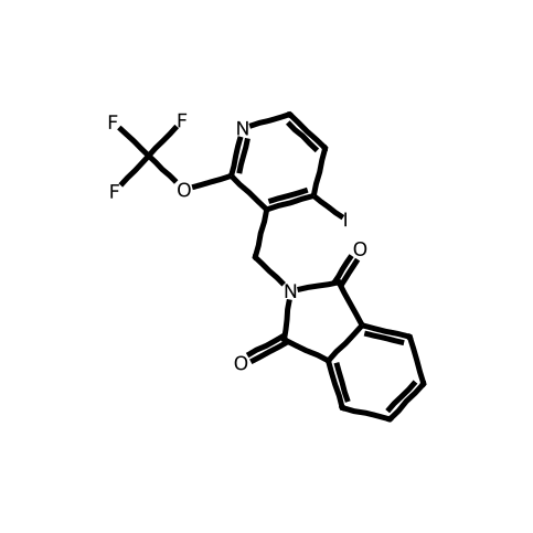 O=C1c2ccccc2C(=O)N1Cc1c(I)ccnc1OC(F)(F)F